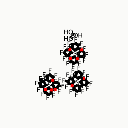 Fc1c(F)c(F)c(S(c2c(F)c(F)c(F)c(F)c2F)(c2c(F)c(F)c(F)c(F)c2F)c2c(F)c(F)c(F)c(F)c2F)c(F)c1F.Fc1c(F)c(F)c(S(c2c(F)c(F)c(F)c(F)c2F)(c2c(F)c(F)c(F)c(F)c2F)c2c(F)c(F)c(F)c(F)c2F)c(F)c1F.Fc1c(F)c(F)c(S(c2c(F)c(F)c(F)c(F)c2F)(c2c(F)c(F)c(F)c(F)c2F)c2c(F)c(F)c(F)c(F)c2F)c(F)c1F.OB(O)O